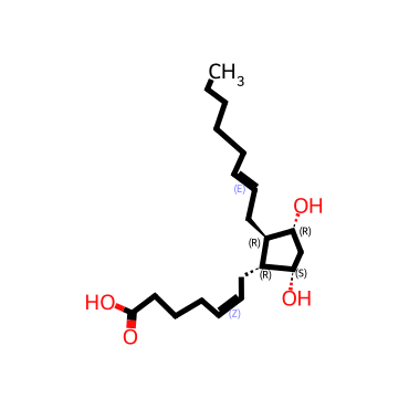 CCCCC/C=C/C[C@@H]1[C@@H](C/C=C\CCCC(=O)O)[C@@H](O)C[C@H]1O